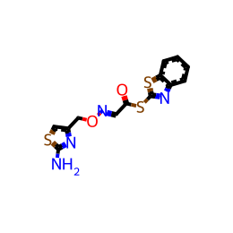 Nc1nc(CON=CC(=O)Sc2nc3ccccc3s2)cs1